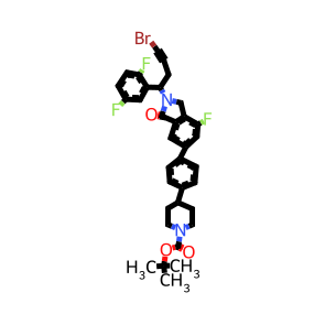 CC(C)(C)OC(=O)N1CCC(c2ccc(-c3cc(F)c4c(c3)C(=O)N(C(CC#CBr)c3cc(F)ccc3F)C4)cc2)CC1